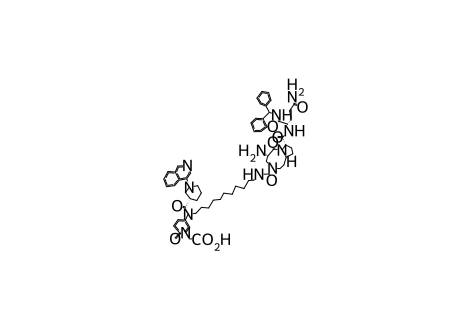 NC(=O)CC[C@H](NC(=O)[C@@H]1CC[C@@H]2CCN(C(=O)NCCCCCCCCCCCN(C(=O)[C@H]3CCCN(c4cncc5ccccc45)C3)c3ccc(=O)n(CC(=O)O)c3)C[C@H](N)C(=O)N21)C(=O)NC(c1ccccc1)c1ccccc1